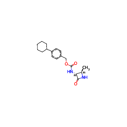 C[C@H]1NC(=O)[C@@H]1NC(=O)OCc1ccc(C2CCCCC2)cc1